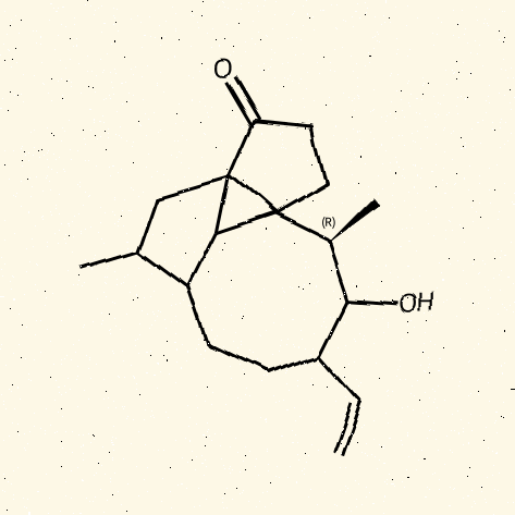 C=CC1CCC2C(C)CC34C(=O)CCC3(C24)[C@@H](C)C1O